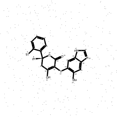 CCc1ccccc1[C@@]1(C(C)C)CC(O)=C(Sc2cc3[nH]cnc3cc2C(C)(C)C)C(=O)O1